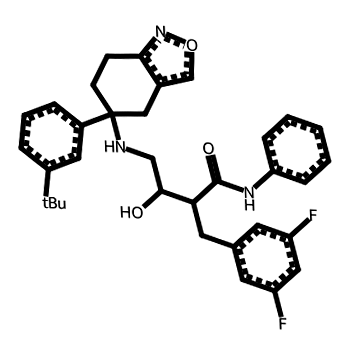 CC(C)(C)c1cccc(C2(NCC(O)C(Cc3cc(F)cc(F)c3)C(=O)Nc3ccccc3)CCc3nocc3C2)c1